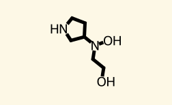 OCCN(O)C1CCNC1